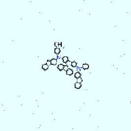 Cc1ccc(N(c2ccc3c(c2)Cc2ccccc2-3)c2ccc3c(c2)C2(c4ccccc4-c4ccccc42)c2cc(N(c4ccccc4)c4ccc5c(c4)Cc4ccccc4-5)ccc2-3)cc1